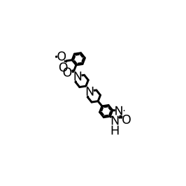 COC(=O)c1ccccc1C(=O)N1CCC(N2CCC(c3ccc4c(c3)[N]C(=O)N4)CC2)CC1